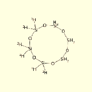 [2H][Si]1([2H])O[SiH2]O[SiH2]O[SiH2]O[Si]([2H])([2H])O[Si]([2H])([2H])O1